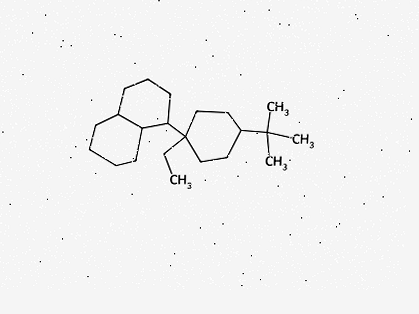 CCC1(C2CCCC3CCCCC32)CCC(C(C)(C)C)CC1